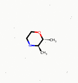 C[C@H]1[N]CCO[C@@H]1C